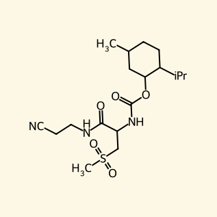 CC1CCC(C(C)C)C(OC(=O)NC(CS(C)(=O)=O)C(=O)NCCC#N)C1